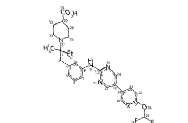 CCC(C)(Cc1cccc(Nc2ncc(-c3ccc(OC(F)F)cc3)cn2)c1)N1CCC(C(=O)O)CC1